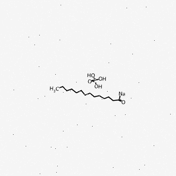 CCCCCCCCCCCCC[C](=O)[Na].O=P(O)(O)O